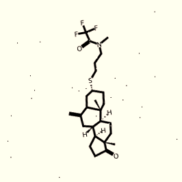 C=C1C[C@@H]2[C@H](CC[C@]3(C)C(=O)CC[C@@H]23)[C@@]2(C)CC[C@@H](SCCCN(C)C(=O)C(F)(F)F)CC12